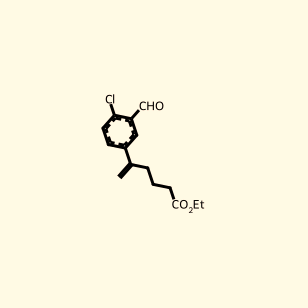 C=C(CCCC(=O)OCC)c1ccc(Cl)c(C=O)c1